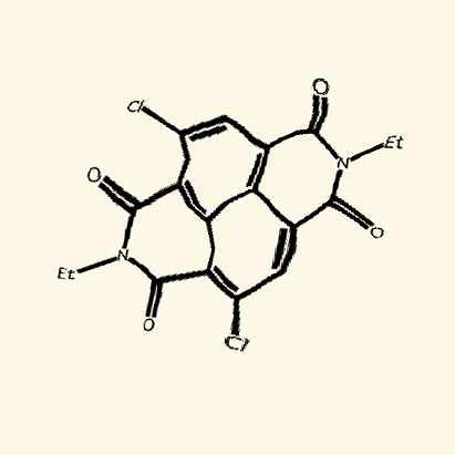 CCN1C(=O)c2cc(Cl)c3c4c(c(Cl)cc(c24)C1=O)C(=O)N(CC)C3=O